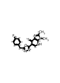 Cc1nc2c(=S)c(-c3nnc(Cc4ccc(F)cc4)o3)c[nH]c2n1C